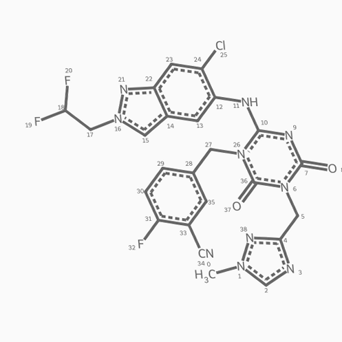 Cn1cnc(Cn2c(=O)nc(Nc3cc4cn(CC(F)F)nc4cc3Cl)n(Cc3ccc(F)c(C#N)c3)c2=O)n1